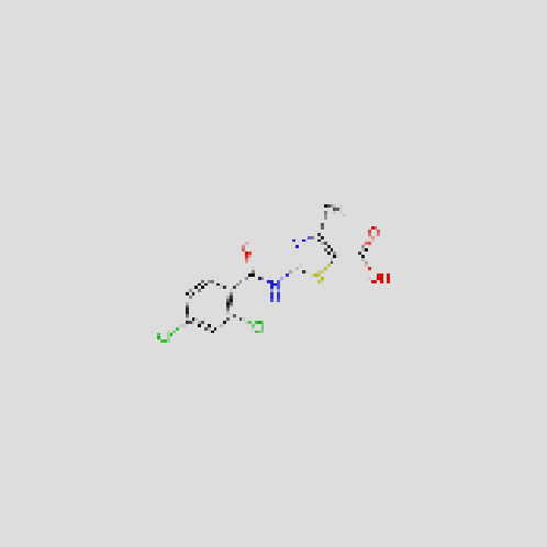 Cc1nc(NC(=O)c2ccc(Cl)cc2Cl)sc1C(=O)O